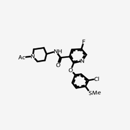 CSc1ccc(Oc2ncc(F)cc2C(=O)NC2CCN(C(C)=O)CC2)cc1Cl